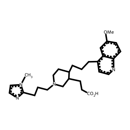 COc1ccc2nccc(CCCC3CCN(CCCc4nccn4C)CC3CCC(=O)O)c2c1